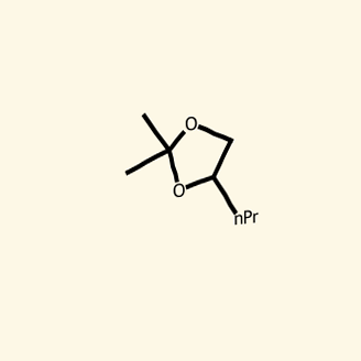 [CH2]CCC1COC(C)(C)O1